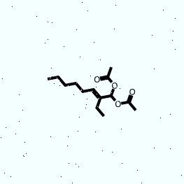 CCCCC/C=C(\CC)C(OC(C)=O)OC(C)=O